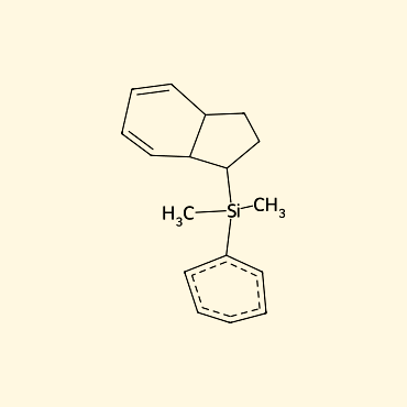 C[Si](C)(c1ccccc1)C1CCC2C=CC=CC21